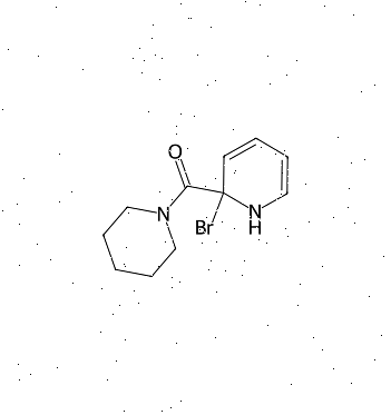 O=C(N1CCCCC1)C1(Br)C=CC=CN1